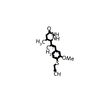 C#CCSc1ccc(/C=C(\C)C2NNC(=O)CC2C)cc1OC